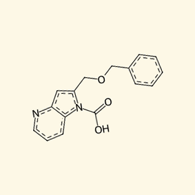 O=C(O)n1c(COCc2ccccc2)cc2ncccc21